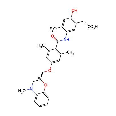 Cc1cc(OC[C@@H]2CN(C)c3ccccc3O2)cc(C)c1C(=O)Nc1cc(CC(=O)O)c(O)cc1C(F)(F)F